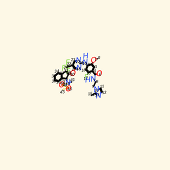 COc1cc(C(=O)NCCn2ccnc2C)c(F)cc1Nc1ncc(C(F)(F)F)c(O[C@@H]2Cc3ccccc3[C@H]2N(C)S(C)(=O)=O)n1